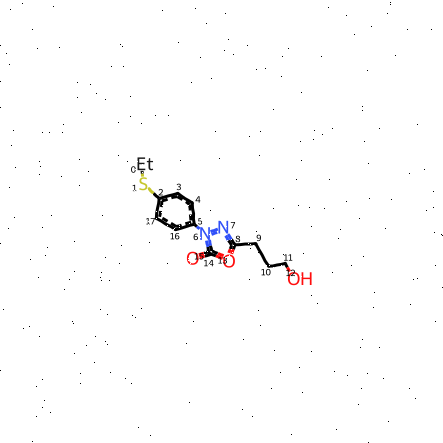 CCSc1ccc(-n2nc(CCCO)oc2=O)cc1